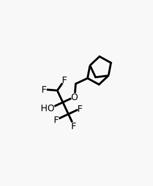 OC(OCC1CC2CCC1C2)(C(F)F)C(F)(F)F